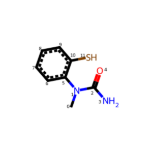 CN(C(N)=O)c1ccccc1S